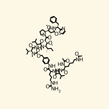 CC[C@H](C)[C@@H]([C@@H](CC(=O)N1CCC[C@H]1C(OC)[C@@H](C)C(=O)N[C@@H](Cc1ccccc1)c1nccs1)OC)N(C)C(=O)[C@@H](NC(=O)[C@H](C(C)C)N(C)C(=O)OCc1ccc(NC(=O)C(CCCNC(N)=O)NC(=O)[C@@H](NC(=O)C(CCCCNC(C)=O)NC(C)=O)C(C)C)cc1)C(C)C